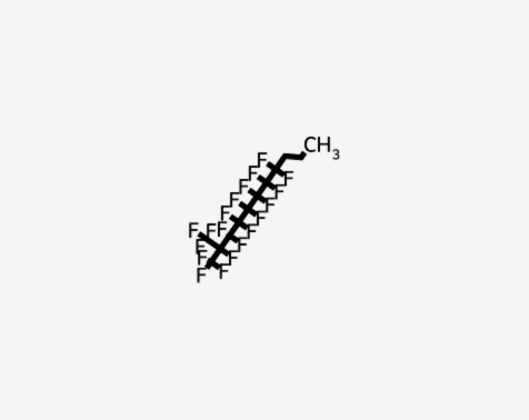 CCCC(F)(F)C(F)(F)C(F)(F)C(F)(F)C(F)(F)C(F)(F)C(F)(C(F)(F)F)C(F)(F)F